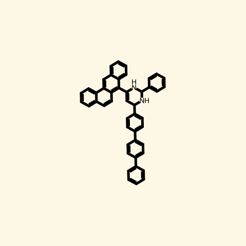 C1=C(c2c3ccccc3cc3c2ccc2ccccc23)NC(c2ccccc2)NC1c1ccc(-c2ccc(-c3ccccc3)cc2)cc1